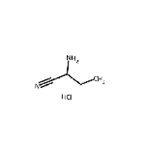 CCC(N)C#N.Cl